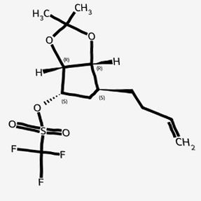 C=CCC[C@H]1C[C@H](OS(=O)(=O)C(F)(F)F)[C@@H]2OC(C)(C)O[C@H]12